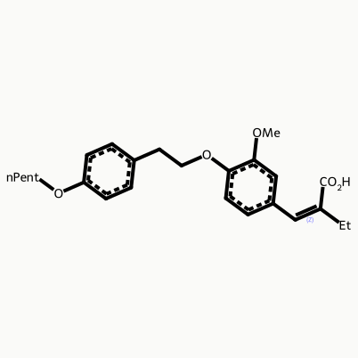 CCCCCOc1ccc(CCOc2ccc(/C=C(/CC)C(=O)O)cc2OC)cc1